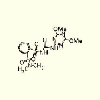 COc1nc(NC(=O)NS(=O)(=O)c2ccccc2S(=O)(=O)N(C)C)nc(OC)n1